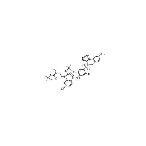 CCN(CCN(C(=O)OC(C)(C)C)c1cc(Cl)ccc1C(=O)Nc1cc(F)c(S(=O)(=O)N(Cc2ccc(OC)cc2OC)c2ncns2)cc1F)C(=O)OC(C)(C)C